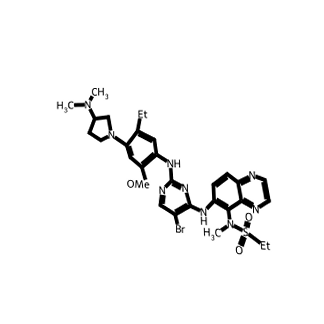 CCc1cc(Nc2ncc(Br)c(Nc3ccc4nccnc4c3N(C)S(=O)(=O)CC)n2)c(OC)cc1N1CCC(N(C)C)C1